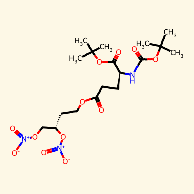 CC(C)(C)OC(=O)N[C@@H](CCC(=O)OCC[C@@H](CO[N+](=O)[O-])O[N+](=O)[O-])C(=O)OC(C)(C)C